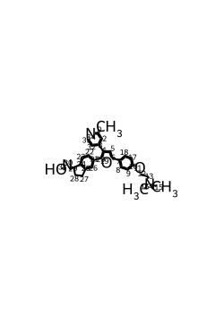 Cc1cc(-c2cc(-c3ccc(OCCN(C)C)cc3)oc2-c2ccc3c(c2)CCC3=NO)ccn1